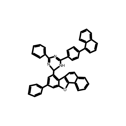 c1ccc(C2=NC(c3cc(-c4ccccc4)cc4oc5c6ccccc6ccc5c34)NC(c3ccc(-c4cccc5ccccc45)cc3)=N2)cc1